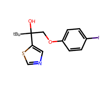 CC(C)(C)C(O)(COc1ccc(I)cc1)c1cncs1